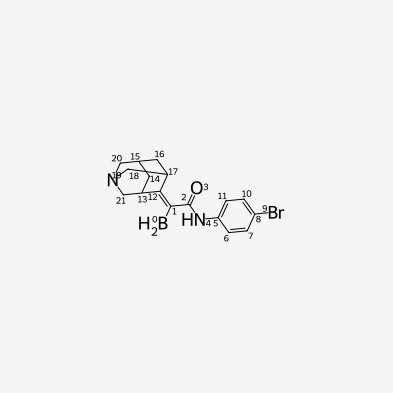 BC(C(=O)Nc1ccc(Br)cc1)=C1C2CC3CC1CN(C3)C2